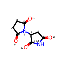 O=C1CC(N2C(=O)CCC2=O)C(=O)N1